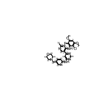 COc1cc(OC)c(Cl)c(Nc2nc(C)ncc2-c2cc(Nc3ccc(CN4CCOCC4)cn3)ncn2)c1F